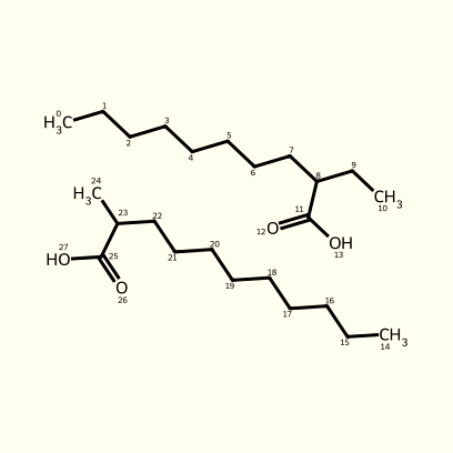 CCCCCCCCC(CC)C(=O)O.CCCCCCCCCC(C)C(=O)O